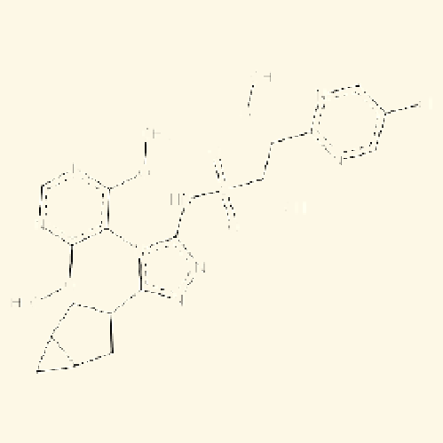 COc1ncnc(OC)c1-n1c(NS(=O)(=O)[C@@H](C)[C@H](OC)c2ncc(Cl)cn2)nnc1C1CC2CC2C1